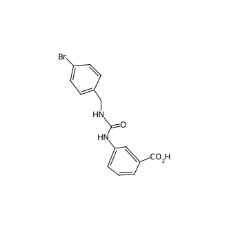 O=C(NCc1ccc(Br)cc1)Nc1cccc(C(=O)O)c1